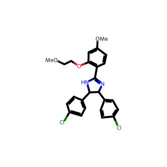 COCCOc1cc(OC)ccc1C1=NC(c2ccc(Cl)cc2)C(c2ccc(Cl)cc2)N1